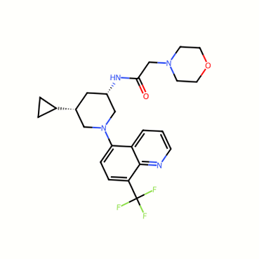 O=C(CN1CCOCC1)N[C@H]1C[C@@H](C2CC2)CN(c2ccc(C(F)(F)F)c3ncccc23)C1